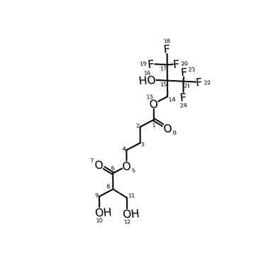 O=C(CCCOC(=O)C(CO)CO)OCC(O)(C(F)(F)F)C(F)(F)F